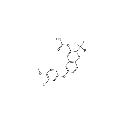 COc1ccc(Oc2ccc3c(c2)C=C(OC(=O)O)C(C(F)(F)F)O3)cc1Cl